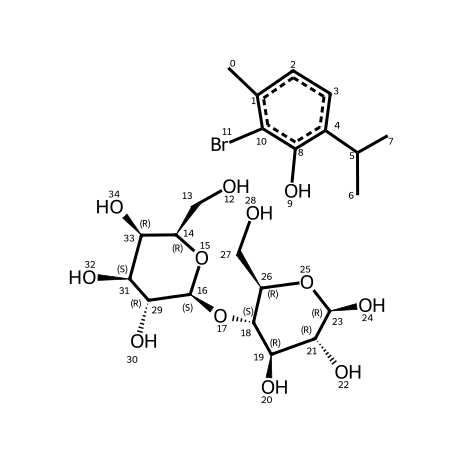 Cc1ccc(C(C)C)c(O)c1Br.OC[C@H]1O[C@@H](O[C@H]2[C@H](O)[C@@H](O)[C@H](O)O[C@@H]2CO)[C@H](O)[C@@H](O)[C@H]1O